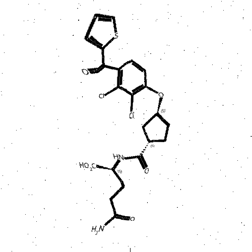 NC(=O)CC[C@H](NC(=O)[C@H]1CC[C@H](Oc2ccc(C(=O)c3cccs3)c(Cl)c2Cl)C1)C(=O)O